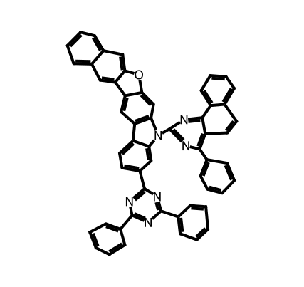 c1ccc(-c2nc(-c3ccccc3)nc(-c3ccc4c5cc6c(cc5n(-c5nc(-c7ccccc7)c7ccc8ccccc8c7n5)c4c3)oc3cc4ccccc4cc36)n2)cc1